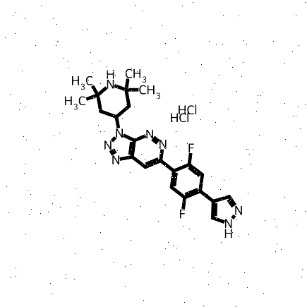 CC1(C)CC(n2nnc3cc(-c4cc(F)c(-c5cn[nH]c5)cc4F)nnc32)CC(C)(C)N1.Cl.Cl